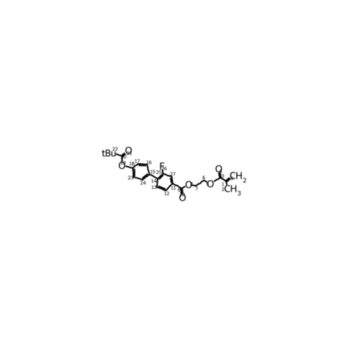 C=C(C)C(=O)OCCOC(=O)c1ccc(-c2ccc(OC(=O)C(C)(C)C)cc2)c(F)c1